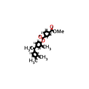 COC(=O)c1ccc(C(=O)Oc2ccc(C(C)c3ccc(C)c(C)c3)cc2C)cc1